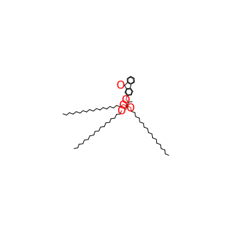 CCCCCCCCCCCCCCCCCCOCC(OCCCCCCCCCCCCCCCCCC)(OCCCCCCCCCCCCCCCCCC)C(C)Oc1ccc2c(c1)C(=O)c1ccccc1-2